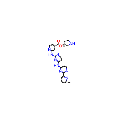 Cc1cccc(-c2nccc(Nc3ccnc(Nc4cc(C(=O)O[C@H]5CCNC5)ccn4)n3)n2)n1